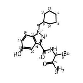 CC(C)(C)C(NC(=O)c1nn(CC2CCCCC2)c2ccc(O)cc12)C(N)=O